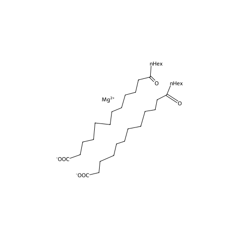 CCCCCCC(=O)CCCCCCCCCCC(=O)[O-].CCCCCCC(=O)CCCCCCCCCCC(=O)[O-].[Mg+2]